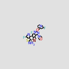 N#Cc1c(N)sc2c(F)cnc(-c3c4c(c5c(N6CCOCC6)nc(OC[C@@]67CCCN6C[C@H](F)C7)nc5c3F)COC4)c12